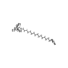 CCO[Si](CCCCCCCCCCCCCCCCCCN=C=S)(OCC)OCC